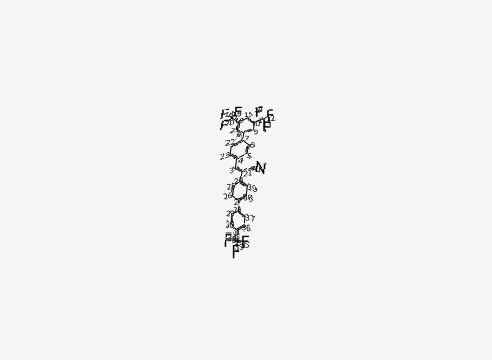 N#C/C(=C\c1ccc(-c2cc(C(F)(F)F)cc(C(F)(F)F)c2)cc1)c1ccc(-c2ccc(C(F)(F)F)cc2)cc1